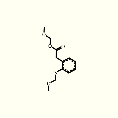 COCOC(=O)Cc1ccccc1SCOC